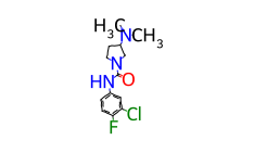 CN(C)C1CCN(C(=O)Nc2ccc(F)c(Cl)c2)C1